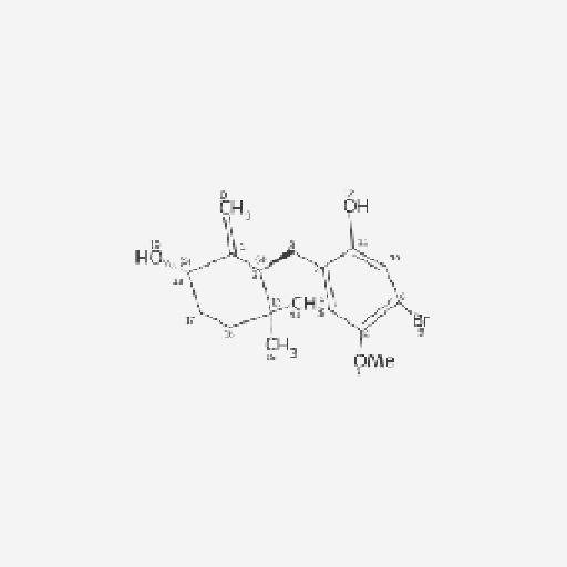 C=C1[C@@H](Cc2cc(OC)c(Br)cc2O)C(C)(C)CC[C@@H]1O